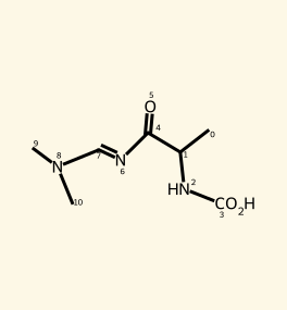 CC(NC(=O)O)C(=O)/N=C/N(C)C